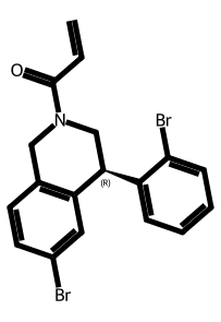 C=CC(=O)N1Cc2ccc(Br)cc2[C@H](c2ccccc2Br)C1